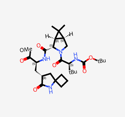 COC(=O)[C@H](C[C@@H]1CC2(CCC2)NC1=O)NC(=O)[C@@H]1[C@@H]2[C@H](CN1C(=O)[C@@H](NC(=O)OC(C)(C)C)C(C)(C)C)C2(C)C